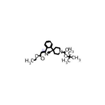 CCOC(=O)/C=C/c1ccccc1C1(C#N)CCN(C(=O)OC(C)(C)C)CC1